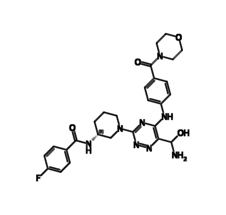 NC(O)c1nnc(N2CCC[C@@H](NC(=O)c3ccc(F)cc3)C2)nc1Nc1ccc(C(=O)N2CCOCC2)cc1